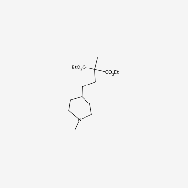 CCOC(=O)C(C)(CCC1CCN(C)CC1)C(=O)OCC